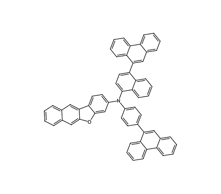 c1ccc2cc3c(cc2c1)oc1cc(N(c2ccc(-c4cc5ccccc5c5ccccc45)cc2)c2ccc(-c4cc5ccccc5c5ccccc45)c4ccccc24)ccc13